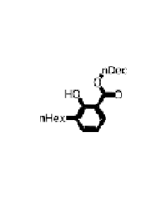 CCCCCCCCCCOC(=O)c1cccc(CCCCCC)c1O